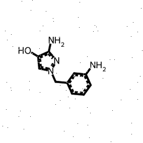 Nc1cccc(Cn2cc(O)c(N)n2)c1